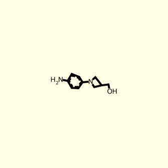 Nc1ccc(N2CC(CO)C2)cc1